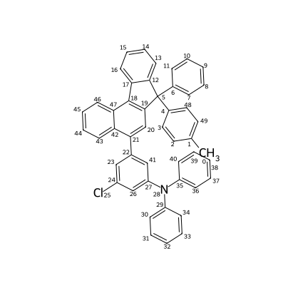 Cc1ccc(C2(c3ccccc3)c3ccccc3-c3c2cc(-c2cc(Cl)cc(N(c4ccccc4)c4ccccc4)c2)c2ccccc32)cc1